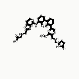 COc1nc(-c2cccc(-c3cccc(Nc4nccc5sc(CNCC(=O)O)nc45)c3Cl)c2Cl)cnc1CNC[C@H]1CCC(=O)N1